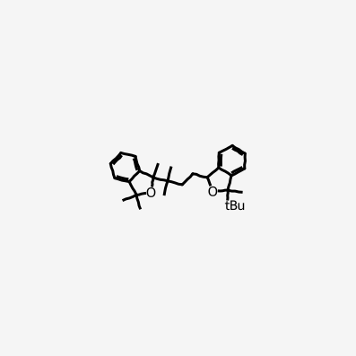 CC1(C)OC(C)(C(C)(C)CCC2OC(C)(C(C)(C)C)c3ccccc32)c2ccccc21